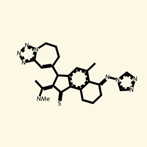 CN/C(C)=C1\C(=S)c2c(cc(C)c3c2CCC/C3=N\n2cnnc2)C1C1=Cc2nnnn2CCC1